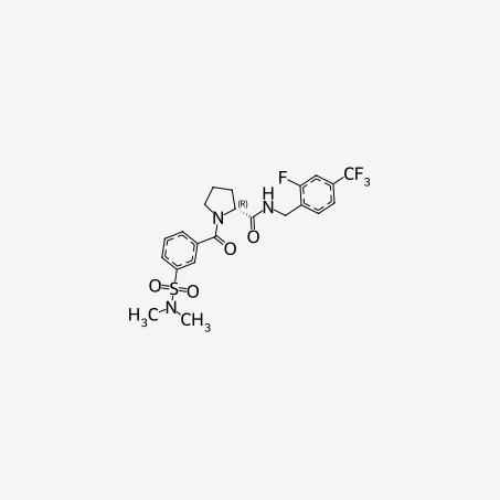 CN(C)S(=O)(=O)c1cccc(C(=O)N2CCC[C@@H]2C(=O)NCc2ccc(C(F)(F)F)cc2F)c1